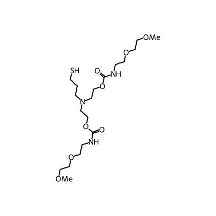 COCCOCCNC(=O)OCCN(CCCS)CCOC(=O)NCCOCCOC